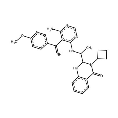 COc1ccc(C(=N)c2c(N)ncnc2NC(C)C2Nc3ccccc3C(=O)N2C2CCC2)cn1